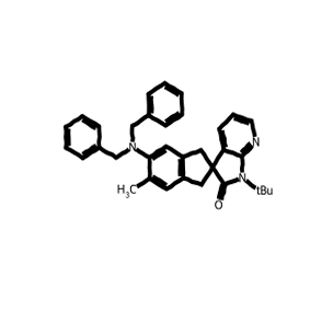 Cc1cc2c(cc1N(Cc1ccccc1)Cc1ccccc1)CC1(C2)C(=O)N(C(C)(C)C)c2ncccc21